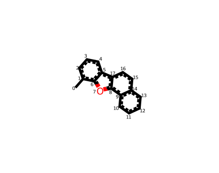 Cc1cccc2c1oc1c3ccccc3ccc21